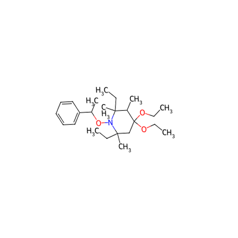 CCOC1(OCC)CC(C)(CC)N(OC(C)c2ccccc2)C(C)(CC)C1C